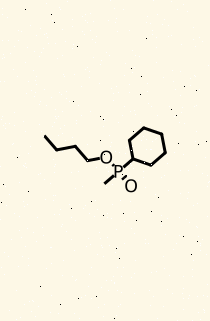 CCCCOP(C)(=O)C1CCCCC1